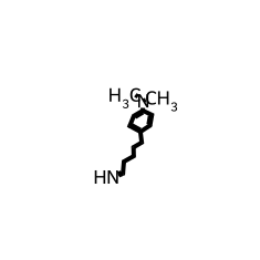 CN(C)c1ccc(CCCCC=N)cc1